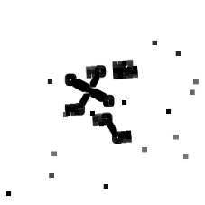 Cl.O=S(=O)(O)O.OO.[NaH]